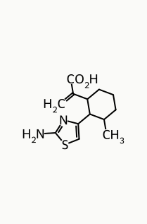 C=C(C(=O)O)C1CCCC(C)C1c1csc(N)n1